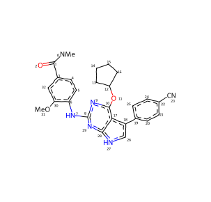 CNC(=O)c1ccc(Nc2nc(OC3CCCC3)c3c(-c4ccc(C#N)cc4)c[nH]c3n2)c(OC)c1